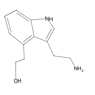 NCCc1c[nH]c2cccc(CCO)c12